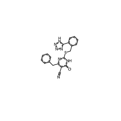 N#Cc1c(Cc2ccccc2)nc(SCc2ccccc2-c2nnn[nH]2)[nH]c1=O